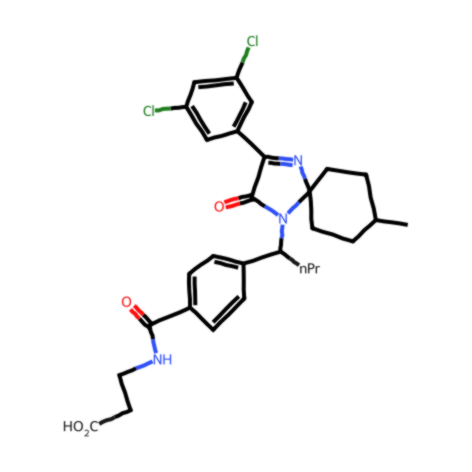 CCCC(c1ccc(C(=O)NCCC(=O)O)cc1)N1C(=O)C(c2cc(Cl)cc(Cl)c2)=NC12CCC(C)CC2